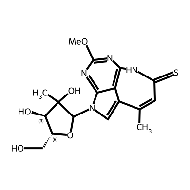 COc1nc2c3c(cn(C4O[C@H](CO)[C@@H](O)C4(C)O)c3n1)C(C)=CC(=S)N2